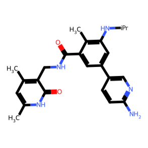 Cc1cc(C)c(CNC(=O)c2cc(-c3ccc(N)nc3)cc(NC(C)C)c2C)c(=O)[nH]1